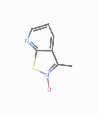 Cc1c2cccnc2s[n+]1[O-]